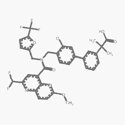 COc1ccc2nc(C(F)F)cc(C(=O)N(Cc3ccc(C(F)(F)F)o3)Cc3ccc(-c4cccc(C(C)(C)C(=O)O)c4)cc3Cl)c2n1